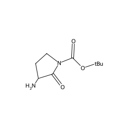 CC(C)(C)OC(=O)N1CCC(N)C1=O